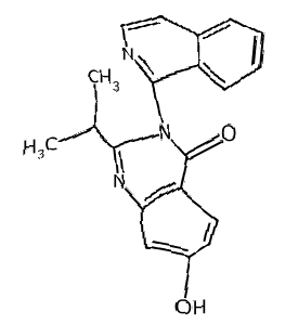 CC(C)c1nc2cc(O)ccc2c(=O)n1-c1nccc2ccccc12